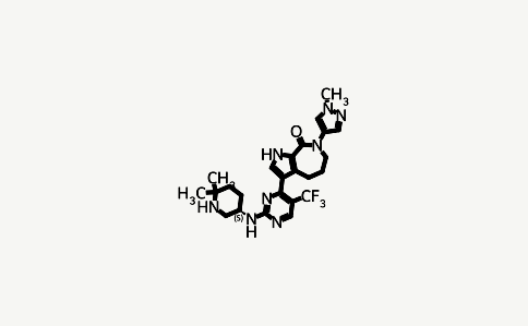 Cn1cc(N2CCCc3c(-c4nc(N[C@H]5CCC(C)(C)NC5)ncc4C(F)(F)F)c[nH]c3C2=O)cn1